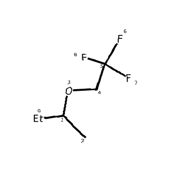 [CH2]CC(C)OCC(F)(F)F